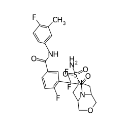 Cc1cc(NC(=O)c2ccc(F)c(C(F)(F)C(=O)N3C4COCC3CN(S(N)(=O)=O)C4)c2)ccc1F